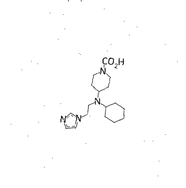 O=C(O)N1CCC(N(CCn2ccnc2)C2CCCCC2)CC1